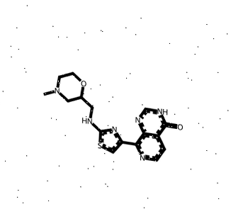 CN1CCOC(CNc2nc(-c3nccc4c(=O)[nH]cnc34)cs2)C1